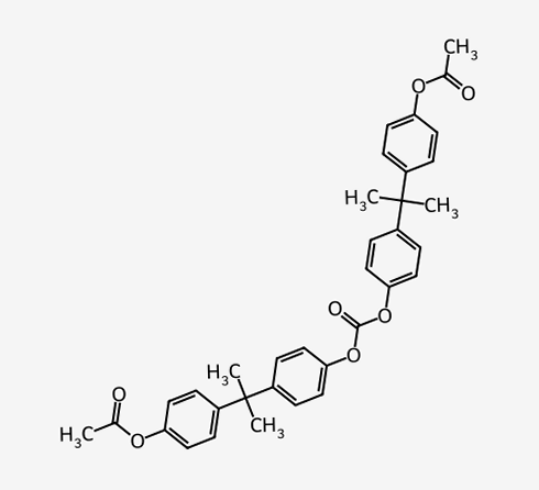 CC(=O)Oc1ccc(C(C)(C)c2ccc(OC(=O)Oc3ccc(C(C)(C)c4ccc(OC(C)=O)cc4)cc3)cc2)cc1